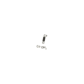 O.[Co].[O]=[Ce]